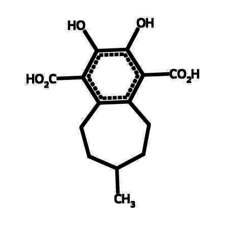 CC1CCc2c(c(C(=O)O)c(O)c(O)c2C(=O)O)CC1